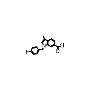 Cc1cn(Cc2ccc(F)cc2)c2cc(C(=O)Cl)ccc12